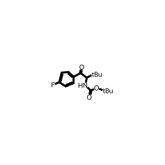 CC(C)(C)OC(=O)NC(C(=O)c1ccc(F)cc1)C(C)(C)C